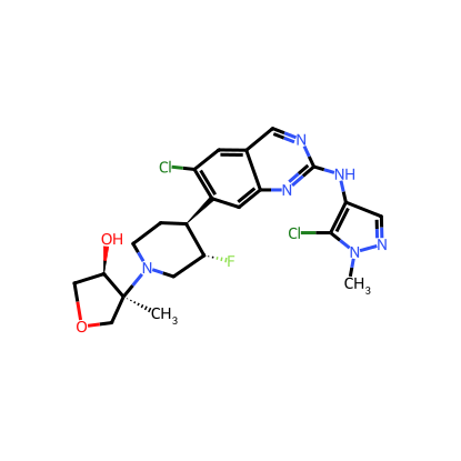 Cn1ncc(Nc2ncc3cc(Cl)c([C@@H]4CCN([C@@]5(C)COC[C@H]5O)C[C@H]4F)cc3n2)c1Cl